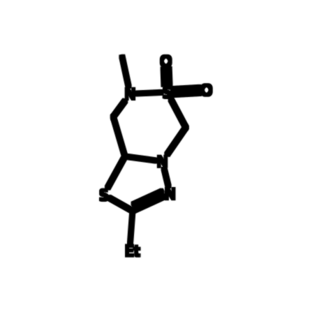 CCC1=NN2CS(=O)(=O)N(C)CC2S1